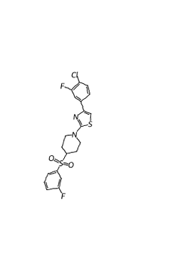 O=S(=O)(c1cccc(F)c1)C1CCN(c2nc(-c3ccc(Cl)c(F)c3)cs2)CC1